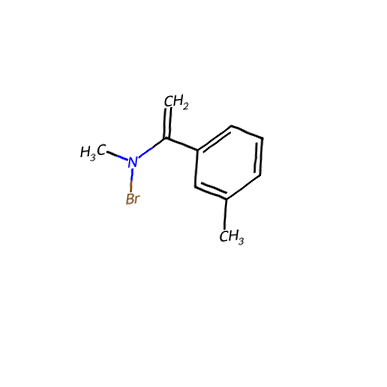 C=C(c1cccc(C)c1)N(C)Br